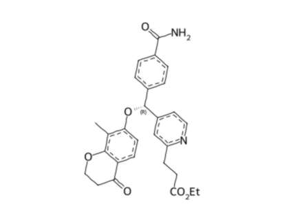 CCOC(=O)CCc1cc([C@H](Oc2ccc3c(c2C)OCCC3=O)c2ccc(C(N)=O)cc2)ccn1